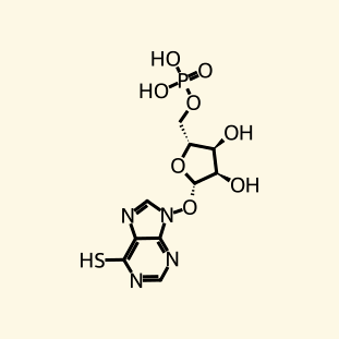 O=P(O)(O)OC[C@H]1O[C@@H](On2cnc3c(S)ncnc32)[C@H](O)[C@@H]1O